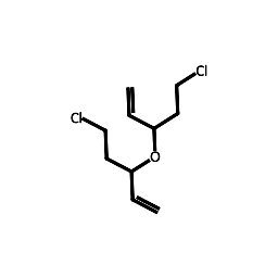 C=CC(CCCl)OC(C=C)CCCl